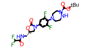 CC(C)(C)OC(=O)N1CCN(c2c(F)cc(N3C[C@H](CNC(=O)C(F)F)OC3=O)cc2F)CCN1